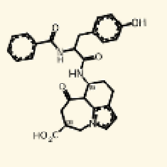 O=C(NC(Cc1ccc(O)cc1)C(=O)N[C@H]1CCc2ccn3c2C1C(=O)C[C@H](C(=O)O)C3)c1ccccc1